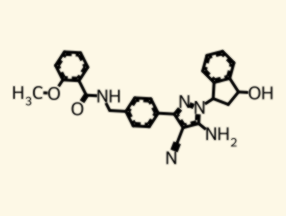 COc1ccccc1C(=O)NCc1ccc(-c2nn(C3CC(O)c4ccccc43)c(N)c2C#N)cc1